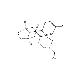 O=C(N1CCC(CO)CC1)N1[C@@H]2CC[C@H]1C[C@@H](C1C=CC(F)=CC1)C2